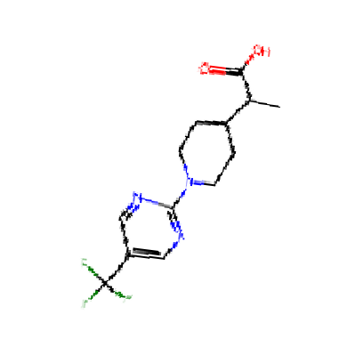 CC(C(=O)O)C1CCN(c2ncc(C(F)(F)F)cn2)CC1